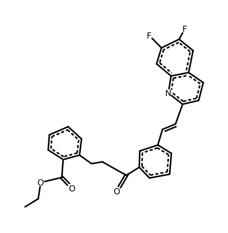 CCOC(=O)c1ccccc1CCC(=O)c1cccc(C=Cc2ccc3cc(F)c(F)cc3n2)c1